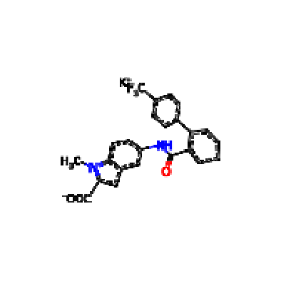 Cn1c(C(=O)[O-])cc2cc(NC(=O)c3ccccc3-c3ccc(C(F)(F)F)cc3)ccc21.[K+]